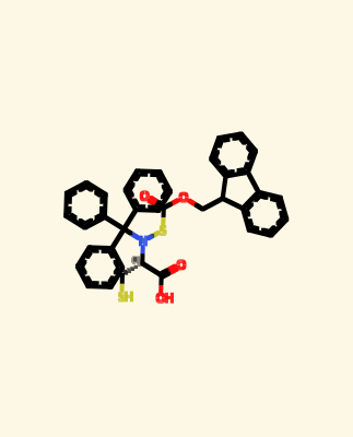 O=C(OCC1c2ccccc2-c2ccccc21)SN([C@@H](CS)C(=O)O)C(c1ccccc1)(c1ccccc1)c1ccccc1